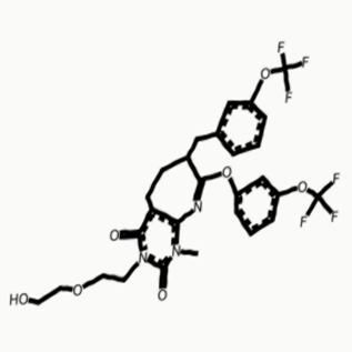 Cn1c2c(c(=O)n(CCOCCO)c1=O)CCC(Cc1cccc(OC(F)(F)F)c1)C(Oc1cccc(OC(F)(F)F)c1)=N2